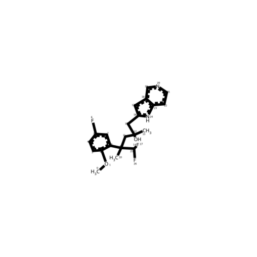 COc1ccc(F)cc1C(C)(CC(C)(O)Cc1cc2cnccc2[nH]1)C(F)F